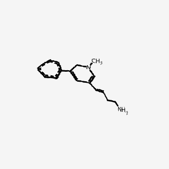 CN1C=C(/C=C/CCN)C=C(c2ccccc2)C1